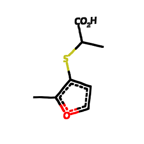 Cc1occc1SC(C)C(=O)O